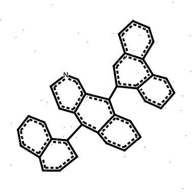 c1ccc2c(-c3c4ccccc4c(-c4cc5ccccc5c5ccccc45)c4cnccc34)cccc2c1